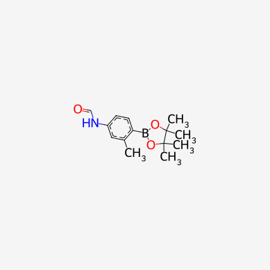 Cc1cc(NC=O)ccc1B1OC(C)(C)C(C)(C)O1